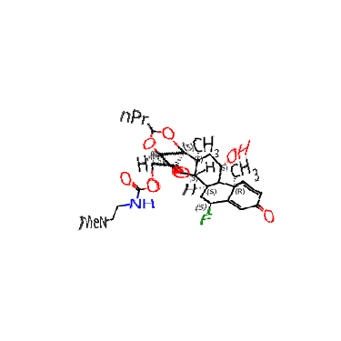 CCCC1O[C@@H]2C[C@H]3[C@@H]4C[C@H](F)C5=CC(=O)C=C[C@]5(C)C4[C@@H](O)C[C@]3(C)[C@]2(C(=O)COC(=O)NCCNC)O1